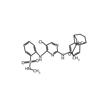 CNS(=O)(=O)c1ccccc1Nc1nc(Nc2ccc3c(c2)C2CCC3CN(C(C)=O)C2)ncc1Cl